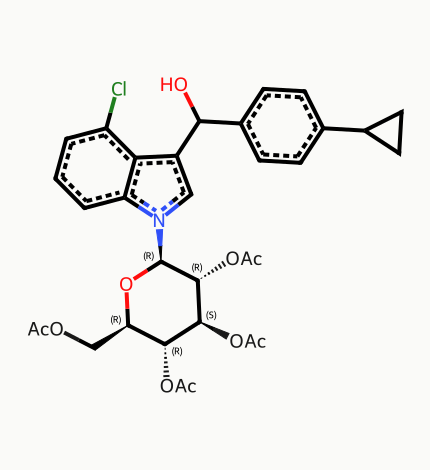 CC(=O)OC[C@H]1O[C@@H](n2cc(C(O)c3ccc(C4CC4)cc3)c3c(Cl)cccc32)[C@H](OC(C)=O)[C@@H](OC(C)=O)[C@@H]1OC(C)=O